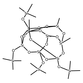 C[Si](C)(C)O[Si]12O[Si]3(C)O[Si]4(C)O[Si]5(C)O[Si](C)(O3)O[Si](O[Si](C)(C)C)(O1)O[Si](O[Si](C)(C)C)(O5)O[Si](O[Si](C)(C)C)(O4)O2